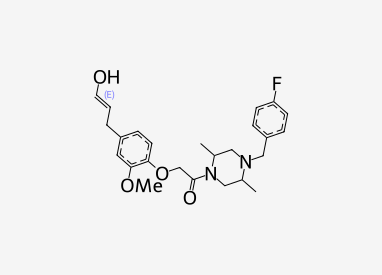 COc1cc(C/C=C/O)ccc1OCC(=O)N1CC(C)N(Cc2ccc(F)cc2)CC1C